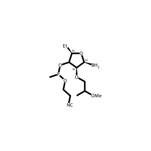 B[C@@H]1O[C@H](CC)C(OP(C)OCC[N+]#[C-])[C@@H]1OCC(C)OC